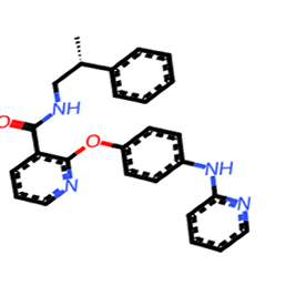 C[C@@H](CNC(=O)c1cccnc1Oc1ccc(Nc2ccccn2)cc1)c1ccccc1